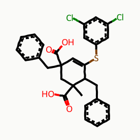 CC1(C(=O)O)CC(Cc2ccccc2)(C(=O)O)C=C(Sc2cc(Cl)cc(Cl)c2)C1Cc1ccccc1